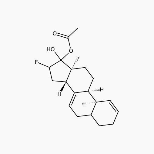 CC(=O)OC1(O)C(F)C[C@H]2C3=CCC4CCC=C[C@]4(C)[C@@H]3CC[C@@]21C